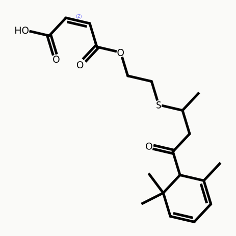 CC1=CC=CC(C)(C)C1C(=O)CC(C)SCCOC(=O)/C=C\C(=O)O